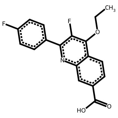 CCOc1c(F)c(-c2ccc(F)cc2)nc2cc(C(=O)O)ccc12